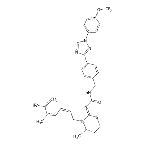 C=C(/C(C)=C\C=C/CN1/C(=N/C(=O)NCc2ccc(-c3ncn(-c4ccc(OC(F)(F)F)cc4)n3)cc2)SCCC1C)C(C)C